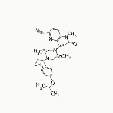 CCC(c1ccc(OC(C)C)cc1)N1C[C@H](C)N(c2cc(=O)n(C)c3ccc(C#N)nc23)C[C@H]1C